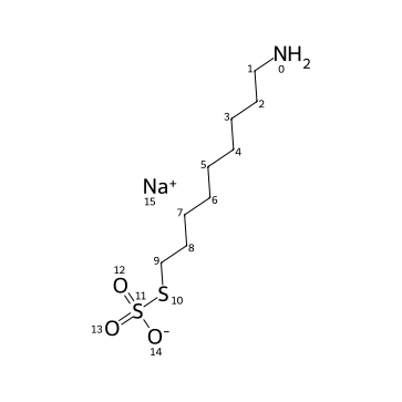 NCCCCCCCCCSS(=O)(=O)[O-].[Na+]